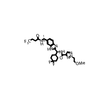 COCCn1ncc(C(=O)N[C@H](c2nc3ccc([C@@H](C)NC(=O)CCC(F)(F)F)cc3[nH]2)C2CCC(F)(F)CC2)n1